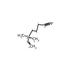 C=C[Si](C)(C)CCCC#N